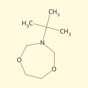 CC(C)(C)N1COCCOC1